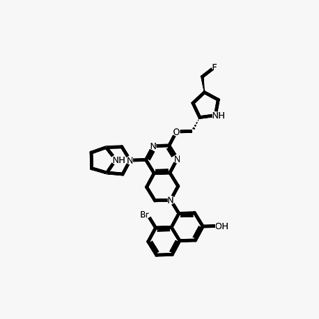 Oc1cc(N2CCc3c(nc(OC[C@@H]4C[C@@H](CF)CN4)nc3N3CC4CCC(C3)N4)C2)c2c(Br)cccc2c1